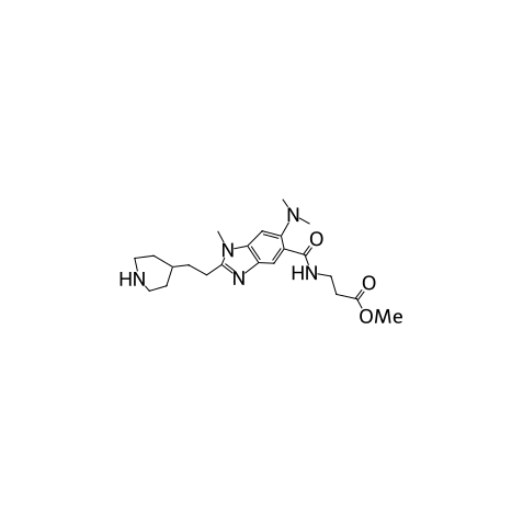 COC(=O)CCNC(=O)c1cc2nc(CCC3CCNCC3)n(C)c2cc1N(C)C